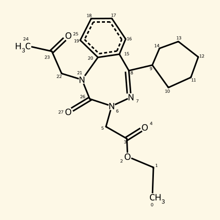 CCOC(=O)CN1N=C(C2CCCCC2)c2ccccc2N(CC(C)=O)C1=O